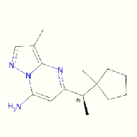 Cc1cnn2c(N)cc([C@H](C)C3(C)CCCC3)nc12